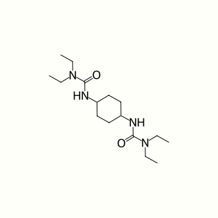 CCN(CC)C(=O)NC1CCC(NC(=O)N(CC)CC)CC1